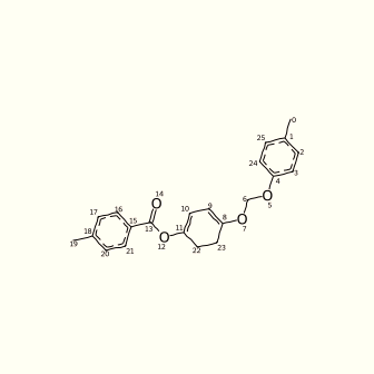 Cc1ccc(OCOC2=CC=C(OC(=O)c3ccc(C)cc3)CC2)cc1